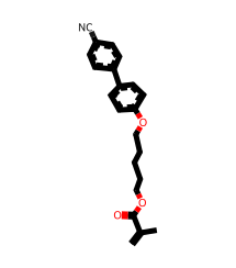 C=C(C)C(=O)OCCCCCOc1ccc(-c2ccc(C#N)cc2)cc1